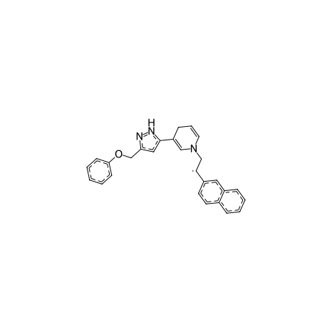 [CH](CN1C=CCC(c2cc(COc3ccccc3)n[nH]2)=C1)c1ccc2ccccc2c1